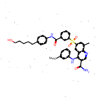 COc1cccc(Nc2c(C(N)=O)cnc3c(C)cc(S(=O)(=O)c4cccc(C(=O)Nc5ccc(CCCCCO)cc5)c4)cc23)c1